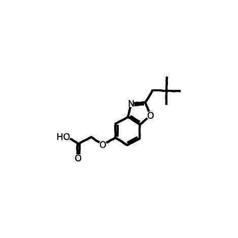 CC(C)(C)Cc1nc2cc(OCC(=O)O)ccc2o1